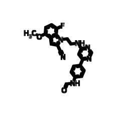 COc1ccc(F)c2c1cc(C#N)n2CCNc1cc(-c2ccc(NC=O)cc2)ncn1